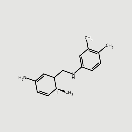 Cc1ccc(NCC2C=C(N)C=C[C@@H]2C)cc1C